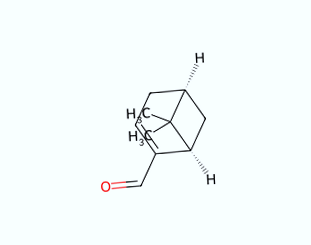 CC1(C)[C@H]2CC=C(C=O)[C@@H]1C2